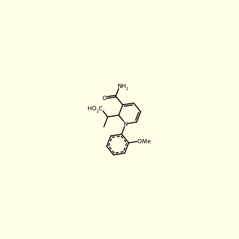 COc1ccccc1N1C=CC=C(C(N)=O)C1C(C)C(=O)O